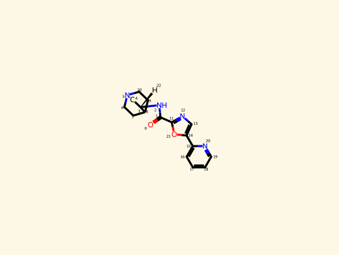 O=C(N[C@H]1CN2CCC1CC2)c1ncc(-c2ccccn2)o1